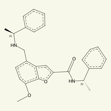 COc1ccc(CN[C@@H](C)c2ccccc2)c2cc(C(=O)N[C@@H](C)c3ccccc3)oc12